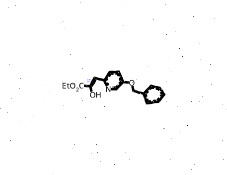 CCOC(=O)/C(O)=C/c1ccc(OCc2ccccc2)cn1